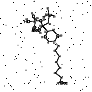 CCCCCCCCCCCCCCCCC[C@@H]1CO[C@@H](C(C[N+](C)(C)C)(OC)OP(=O)([O-])O)CO1